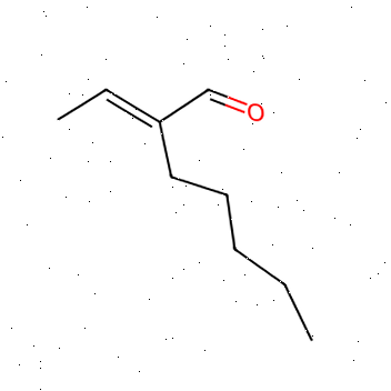 C/C=C(/C=O)CCCCC